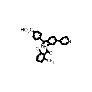 O=C(O)c1ccc(-c2nn(C(=O)c3c(Cl)cccc3C(F)(F)F)c3cc(-c4ccncc4)ccc23)cc1